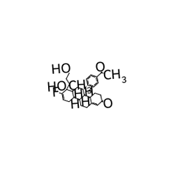 CC(=O)c1ccc([C@H]2C[C@@]3(C)[C@@H](CC=C(F)C3(O)CCCO)[C@@H]3CCC4=CC(=O)CC[C@@H]4[C@H]32)cc1